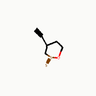 C#CC1CCOS(=S)C1